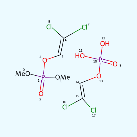 COP(=O)(OC)OC=C(Cl)Cl.O=P(O)(O)OC=C(Cl)Cl